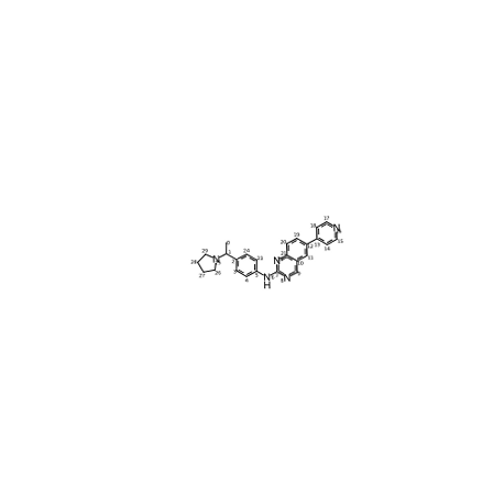 CC(c1ccc(Nc2ncc3cc(-c4ccncc4)ccc3n2)cc1)N1CCCC1